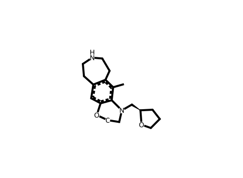 Cc1c2c(cc3c1N(C[C@H]1CCCO1)CCO3)CCNCC2